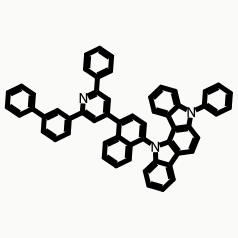 c1ccc(-c2cccc(-c3cc(-c4ccc(-n5c6ccccc6c6ccc7c(c8ccccc8n7-c7ccccc7)c65)c5ccccc45)cc(-c4ccccc4)n3)c2)cc1